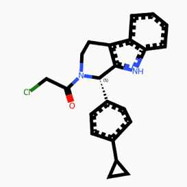 O=C(CCl)N1CCc2c([nH]c3ccccc23)[C@@H]1c1ccc(C2CC2)cc1